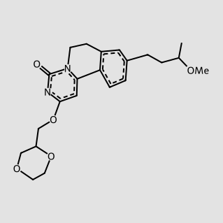 COC(C)CCc1ccc2c(c1)CCn1c-2cc(OCC2COCCO2)nc1=O